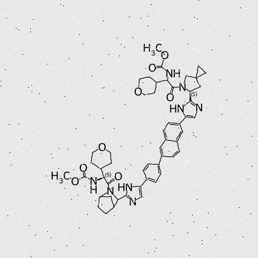 COC(=O)NC(C(=O)N1CC2(CC2)C[C@H]1c1ncc(-c2ccc3cc(-c4ccc(-c5cnc(C6C7CCC(C7)N6C(=O)[C@@H](NC(=O)OC)C6CCOCC6)[nH]5)cc4)ccc3c2)[nH]1)C1CCOCC1